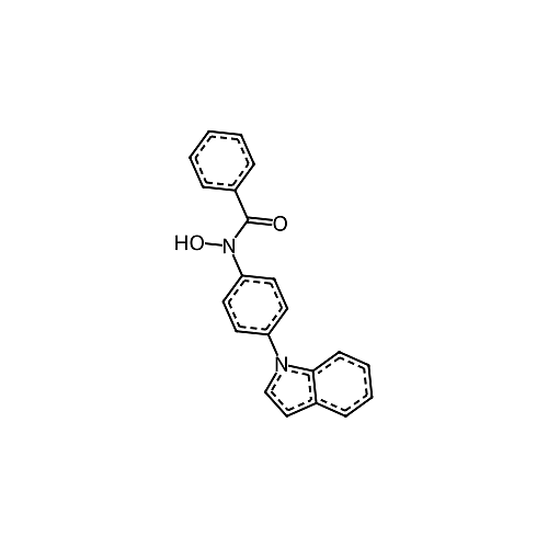 O=C(c1ccccc1)N(O)c1ccc(-n2ccc3ccccc32)cc1